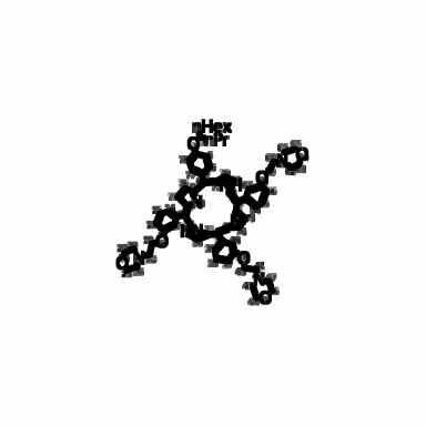 CCCCCCC(CCC)Oc1ccc(-c2c3nc(c(-c4cccc(OCCN5CCOCC5)c4)c4ccc([nH]4)c(-c4cccc(OCCN5CCOCC5)c4)c4nc(c(-c5cccc(OCCN6CCOCC6)c5)c5ccc2[nH]5)C=C4)C=C3)cc1